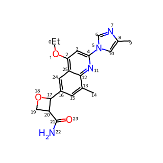 CCOc1cc(-n2cnc(C)c2)nc2c(C)cc(C3OCC3C(N)=O)cc12